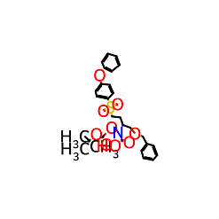 CC(C)(C)OC(=O)ON(C(=O)O)C(CCS(=O)(=O)c1ccc(Oc2ccccc2)cc1)COCc1ccccc1